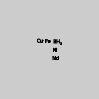 B.[Cu].[Fe].[Nd].[Ni]